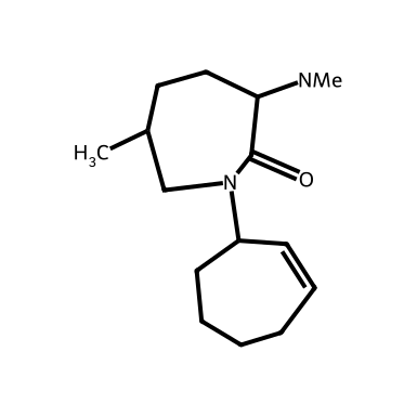 CNC1CCC(C)CN(C2C=CCCCC2)C1=O